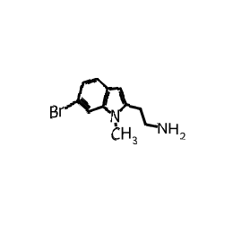 Cn1c(CCN)cc2ccc(Br)cc21